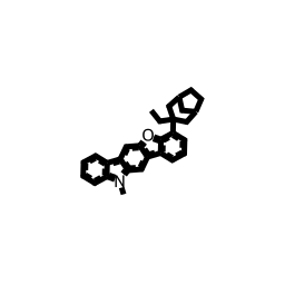 CCC1(c2cccc3c2oc2cc4c5ccccc5n(C)c4cc23)CC2CCC(C2)C1